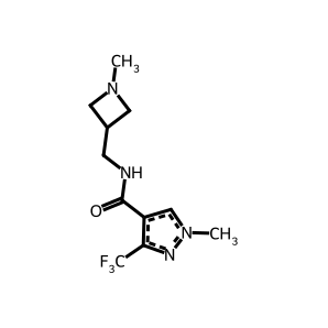 CN1CC(CNC(=O)c2cn(C)nc2C(F)(F)F)C1